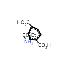 CCOC(N)=O.O=C(O)c1ccc(C(=O)O)cc1